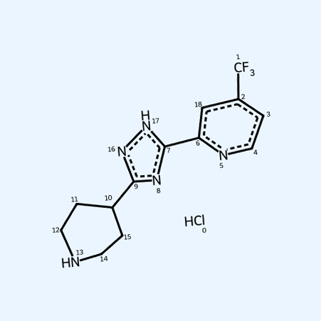 Cl.FC(F)(F)c1ccnc(-c2nc(C3CCNCC3)n[nH]2)c1